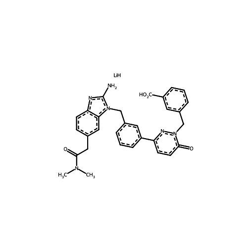 CN(C)C(=O)Cc1ccc2nc(N)n(Cc3cccc(-c4ccc(=O)n(Cc5cccc(C(=O)O)c5)n4)c3)c2c1.[LiH]